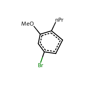 CCCc1ccc(Br)cc1OC